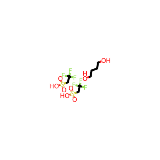 O=S(=O)(O)CC(F)(F)F.O=S(=O)(O)CC(F)(F)F.OCCCCO